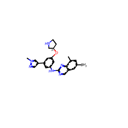 Bc1cc(C)c2nc(Nc3cc(O[C@@H]4CCNC4)cc(-c4cnn(C)c4)c3)ncc2c1